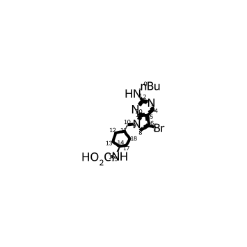 CCCCNc1ncc2c(Br)cn(C[C@H]3CC[C@H](NC(=O)O)CC3)c2n1